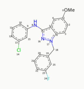 COc1ccc2c(c1)c(Nc1cccc(Cl)c1)nn2Cc1cccc(F)c1